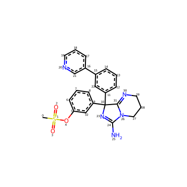 CS(=O)(=O)Oc1cccc(C2(c3cccc(-c4cccnc4)c3)N=C(N)N3CCCN=C32)c1